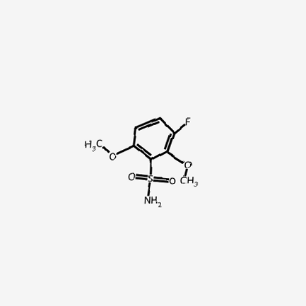 COc1ccc(F)c(OC)c1S(N)(=O)=O